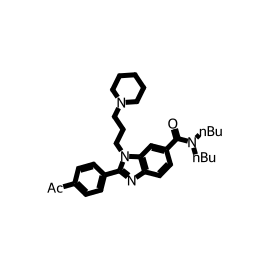 CCCCN(CCCC)C(=O)c1ccc2nc(-c3ccc(C(C)=O)cc3)n(CCCN3CCCCC3)c2c1